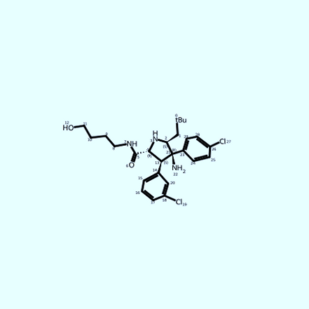 CC(C)(C)C[C@@H]1N[C@@H](C(=O)NCCCCO)[C@H](c2cccc(Cl)c2)[C@@]1(N)c1ccc(Cl)cc1